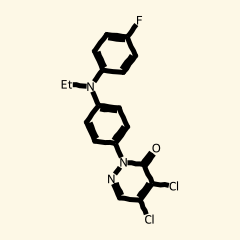 CCN(c1ccc(F)cc1)c1ccc(-n2ncc(Cl)c(Cl)c2=O)cc1